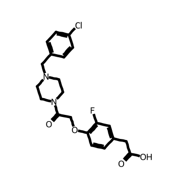 O=C(O)Cc1ccc(OCC(=O)N2CCN(Cc3ccc(Cl)cc3)CC2)c(F)c1